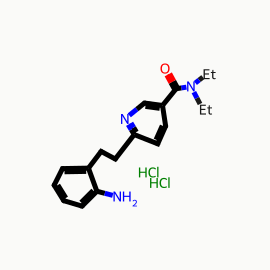 CCN(CC)C(=O)c1ccc(CCc2ccccc2N)nc1.Cl.Cl